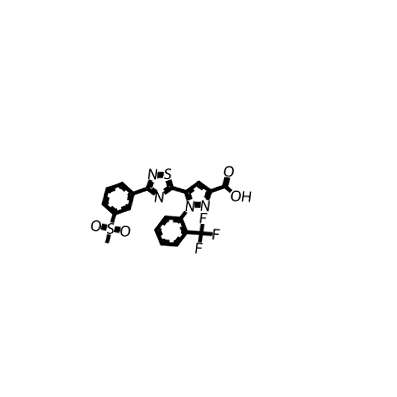 CS(=O)(=O)c1cccc(-c2nsc(-c3cc(C(=O)O)nn3-c3ccccc3C(F)(F)F)n2)c1